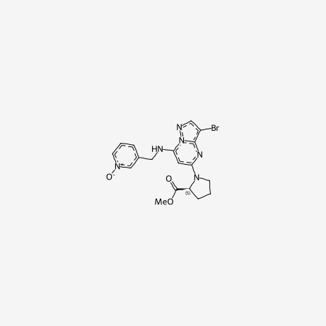 COC(=O)[C@@H]1CCCN1c1cc(NCc2ccc[n+]([O-])c2)n2ncc(Br)c2n1